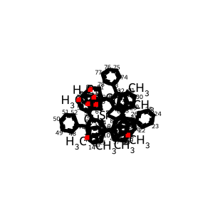 CC1=C(C)C(C)C([Si](c2c(-c3ccccc3)c(C)c(C)c(-c3ccccc3)c2-c2ccccc2)(c2c(-c3ccccc3)c(C)c(C)c(-c3ccccc3)c2-c2ccccc2)c2c(-c3ccccc3)c(C)c(C)c(-c3ccccc3)c2-c2ccccc2)=C1C